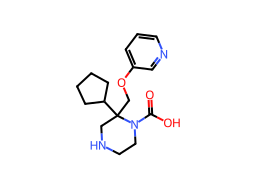 O=C(O)N1CCNCC1(COc1cccnc1)C1CCCC1